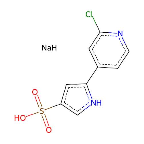 O=S(=O)(O)c1c[nH]c(-c2ccnc(Cl)c2)c1.[NaH]